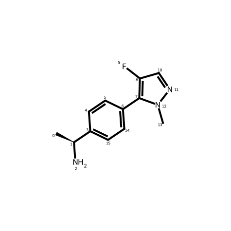 C[C@H](N)c1ccc(-c2c(F)cnn2C)cc1